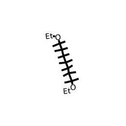 CCOC(C)(C)C(C)(C)C(C)(C)C(C)(C)C(C)(C)C(C)(C)C(C)(C)OCC